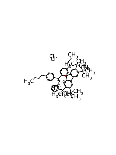 CCCCc1ccc([C](c2ccc(CCCC)cc2)=[Zr+2]([C]2=CC=CC2)[c]2c3c(cc(C(C)(C)C)c2C(C)(C)C)-c2cc(C(C)(C)C)c(C(C)(C)C)cc2C3)cc1.[Cl-].[Cl-]